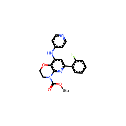 CC(C)(C)OC(=O)N1CCOc2c(Nc3ccncc3)cc(-c3ccccc3F)nc21